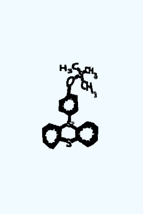 C[Si](C)(C)Oc1ccc([S+]2c3ccccc3Sc3ccccc32)cc1